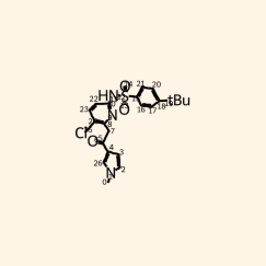 Cn1ccc(C(=O)Cc2nc(NS(=O)(=O)c3ccc(C(C)(C)C)cc3)ccc2Cl)c1